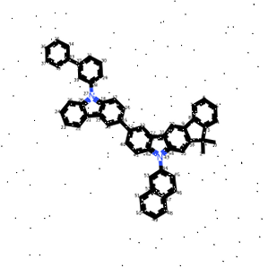 CC1(C)c2ccccc2-c2cc3c4cc(-c5ccc6c(c5)c5ccccc5n6-c5cccc(-c6ccccc6)c5)ccc4n(-c4ccc5ccccc5c4)c3cc21